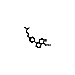 CN(C)CCOc1ccc(-c2cccc3c2C=CNC3C=O)cc1